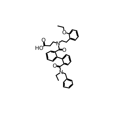 CCOc1ccccc1CCN(CCC(=O)O)C(=O)c1ccccc1-c1ccccc1C(=O)N(CC)Cc1ccccc1